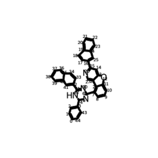 c1ccc(C2N=C(c3cccc4oc5cc(-c6ccc7ccccc7c6)ncc5c34)N=C(c3ccc4ccccc4c3)N2)cc1